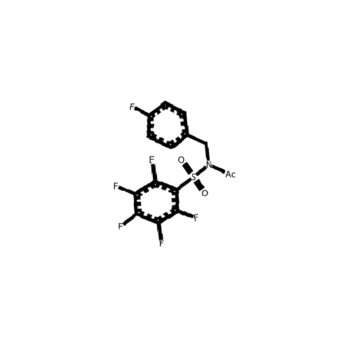 CC(=O)N(Cc1ccc(F)cc1)S(=O)(=O)c1c(F)c(F)c(F)c(F)c1F